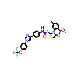 COC(C)c1ccc(C)cc1N1C(=O)CS/C1=N\C(=O)Nc1ccc(-c2cn(-c3ccc(OC(F)(F)F)cc3)cn2)cc1